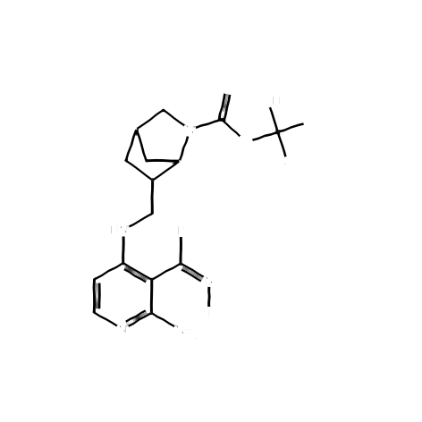 CC(C)(C)OC(=O)N1CC2CC(CNc3ccnc(N)c3/C(Br)=N\I)C1C2